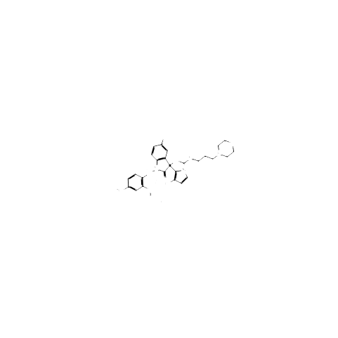 COc1ccc(S(=O)(=O)N2C(=O)C(OC(=O)NCCCN3CCOCC3)(c3sccc3C)c3cc(Cl)ccc32)c(OC)c1